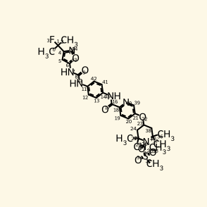 CC(C)(F)c1cc(NC(=O)Nc2ccc(NC(=O)c3ccc(OC4CC(C)(C)[N+](C)(OS(C)(=O)=O)C(C)(C)C4)cn3)cc2)on1